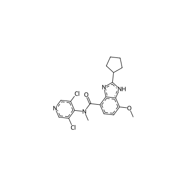 COc1ccc(C(=O)N(C)c2c(Cl)cncc2Cl)c2nc(C3CCCC3)[nH]c12